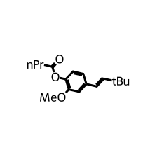 CCCC(=O)Oc1ccc(/C=C/C(C)(C)C)cc1OC